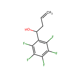 C=CCC(O)c1c(F)c(F)c(F)c(F)c1F